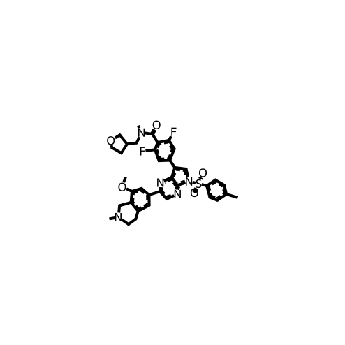 COc1cc(-c2cnc3c(n2)c(-c2cc(F)c(C(=O)N(C)CC4CCOC4)c(F)c2)cn3S(=O)(=O)c2ccc(C)cc2)cc2c1CN(C)CC2